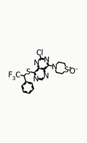 [O-][S+]1CCN(c2nc(Cl)nc3c(SC(c4ccccc4)C(F)(F)F)ncnc23)CC1